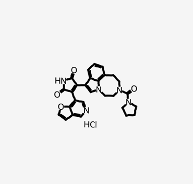 Cl.O=C1NC(=O)C(c2cncc3ccoc23)=C1c1cn2c3c(cccc13)CCN(C(=O)N1CCCC1)CC2